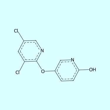 Oc1ccc(Oc2ncc(Cl)cc2Cl)cn1